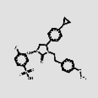 COc1ccc(CCN2C(=O)N(N)CC2c2ccc(C3CC3)cc2)cc1.Cc1ccc(S(=O)(=O)O)cc1